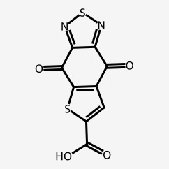 O=C(O)c1cc2c(s1)C(=O)c1nsnc1C2=O